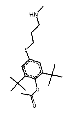 CNCCCSc1cc(C(C)(C)C)c(OC(C)=O)c(C(C)(C)C)c1